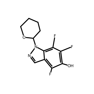 Oc1c(F)c(F)c2c(cnn2C2CCCCO2)c1F